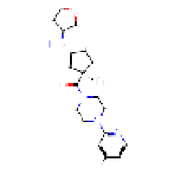 CC(C)[C@]1(C(=O)N2CCN(c3cc(C(F)(F)F)ccn3)CC2)CC[C@@H](NC2CCOC2)C1